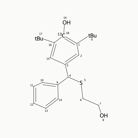 CC(C)(C)c1cc(C(SCCO)c2ccccc2)cc(C(C)(C)C)[13c]1O